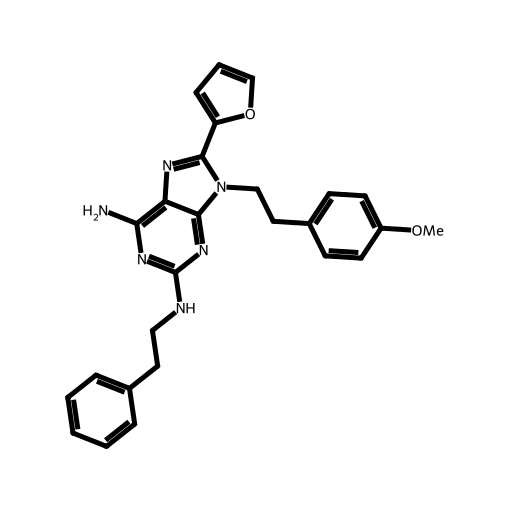 COc1ccc(CCn2c(-c3ccco3)nc3c(N)nc(NCCc4ccccc4)nc32)cc1